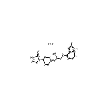 Cc1cc2c(OCC(O)CN3CCC(N4CCNC4=O)CC3)cccc2[nH]1.Cl